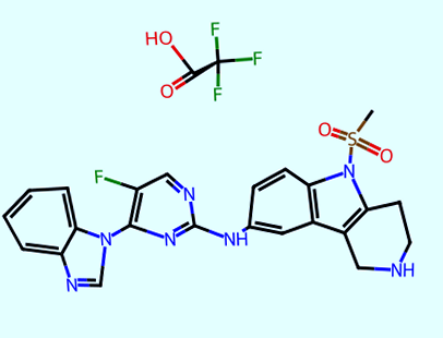 CS(=O)(=O)n1c2c(c3cc(Nc4ncc(F)c(-n5cnc6ccccc65)n4)ccc31)CNCC2.O=C(O)C(F)(F)F